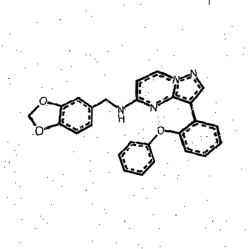 c1ccc(Oc2ccccc2-c2cnn3ccc(NCc4ccc5c(c4)OCO5)nc23)cc1